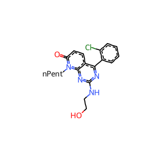 CCCCCn1c(=O)ccc2c(-c3ccccc3Cl)nc(NCCO)nc21